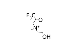 C[N+](C)(CCO)CC(=O)C(F)(F)F